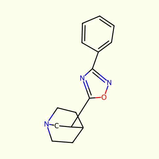 c1ccc(-c2noc(C3CN4CCC3CC4)n2)cc1